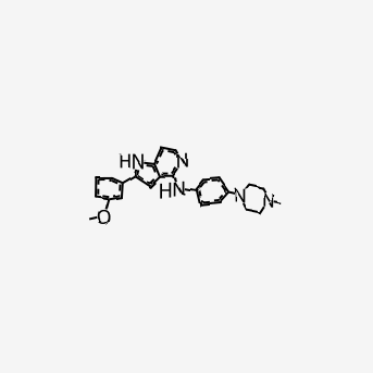 COc1cccc(-c2cc3c(Nc4ccc(N5CCN(C)CC5)cc4)nccc3[nH]2)c1